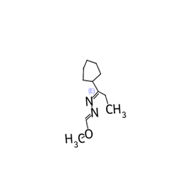 CC/C(=N\N=COC)C1CCCCC1